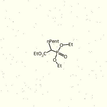 CCCCCC(C(=O)OCC)P(=O)(OCC)OCC